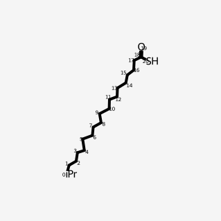 CC(C)CCCCCCCCCCCCCCCCCC(=O)S